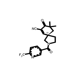 CC1(C)C[C@@]2(C=C(C#N)C1=O)CCN(C(=O)c1ccc(C(F)(F)F)nc1)C2